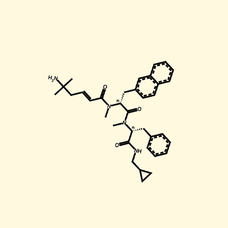 CN(C(=O)C=CCC(C)(C)N)[C@H](Cc1ccc2ccccc2c1)C(=O)N(C)[C@H](Cc1ccccc1)C(=O)NCC1CC1